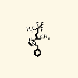 C=C/C(=C\C=C(/C)C(F)(F)F)c1nccn1Cc1ccccc1